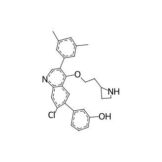 Cc1cc(C)cc(-c2cnc3cc(Cl)c(-c4cccc(O)c4)cc3c2OCCC2CCN2)c1